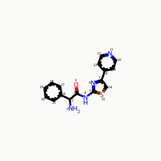 NC(C(=O)Nc1nc(-c2ccncc2)cs1)c1ccccc1